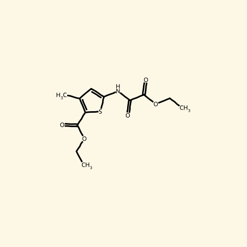 CCOC(=O)C(=O)Nc1cc(C)c(C(=O)OCC)s1